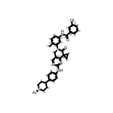 CC(=O)N1CCC(c2ccc(Nc3ncc4c(n3)C3(CC3)C(=O)N(c3cc(NC(=O)c5cccc(C(F)(F)F)c5)ccc3C)C4)cc2)CC1